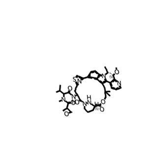 CCn1c(-c2cccnc2[C@H](C)OC)c2c3cc(ccc31)-c1csc(n1)C[C@H](NC(=O)C(C(C)C)N(C)C(=O)C1COC1)C(=O)N1CCC[C@H](N1)C(=O)OCC(C)(C)C2